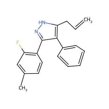 C=CCc1[nH]nc(-c2ccc(C)cc2F)c1-c1ccccc1